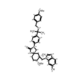 COc1ccc(COC(C)(C)c2cnc(N3C[C@@]4(CC[C@@H](OC)[C@](C)(Cn5cnc6ccc(C#N)cc65)C4)OC3=O)cn2)cc1